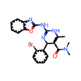 CC1=C(C(=O)N(C)C)C(c2ccccc2Br)N=C(Nc2nc3ccccc3o2)N1